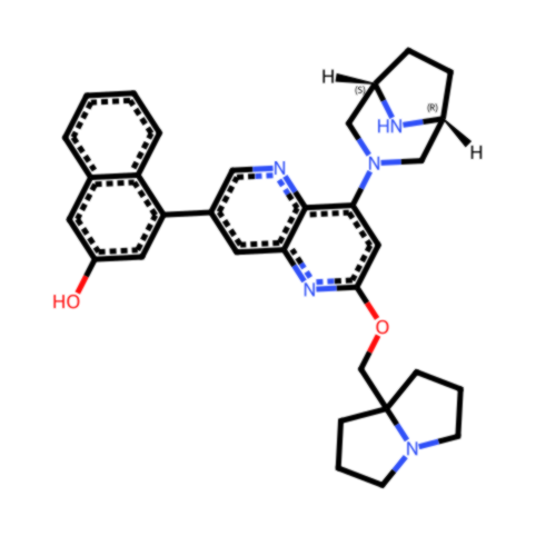 Oc1cc(-c2cnc3c(N4C[C@H]5CC[C@@H](C4)N5)cc(OCC45CCCN4CCC5)nc3c2)c2ccccc2c1